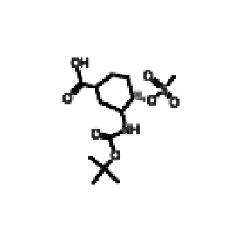 CC(C)(C)OC(=O)NC1CC(C(=O)O)CC[C@@H]1OS(C)(=O)=O